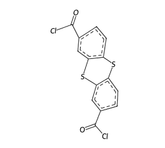 O=C(Cl)c1ccc2c(c1)Sc1cc(C(=O)Cl)ccc1S2